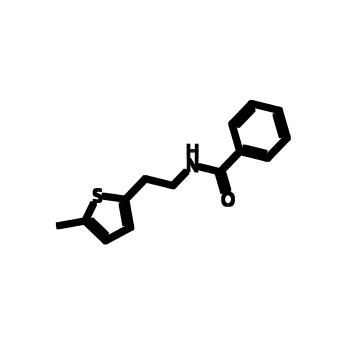 Cc1ccc(CCNC(=O)c2ccccc2)s1